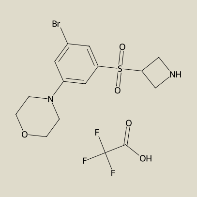 O=C(O)C(F)(F)F.O=S(=O)(c1cc(Br)cc(N2CCOCC2)c1)C1CNC1